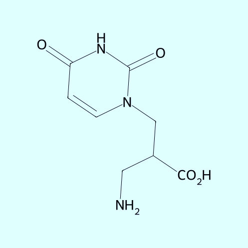 NCC(Cn1ccc(=O)[nH]c1=O)C(=O)O